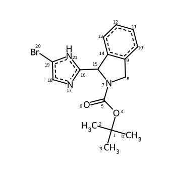 CC(C)(C)OC(=O)N1Cc2ccccc2C1c1ncc(Br)[nH]1